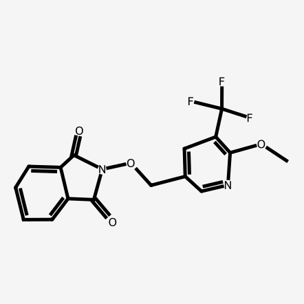 COc1ncc(CON2C(=O)c3ccccc3C2=O)cc1C(F)(F)F